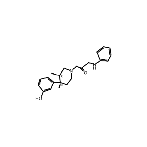 C[C@H]1CN(CC(=O)CNc2ccccc2)CC[C@]1(C)c1cccc(O)c1